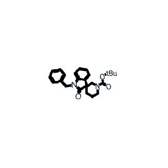 CC(C)(C)OC(=O)N1CCCC2(C1)C(=O)N(Cc1ccccc1)c1ccccc12